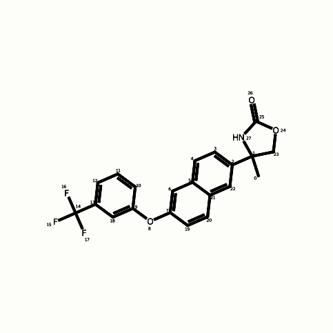 CC1(c2ccc3cc(Oc4cccc(C(F)(F)F)c4)ccc3c2)COC(=O)N1